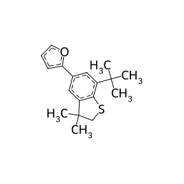 CC(C)(C)c1cc(-c2ccco2)cc2c1SCC2(C)C